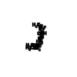 Cc1cn2cc(NC(=O)c3cnc(N4CC[C@@H](C5(NC(=O)OC(C)(C)C)CC5)C4)cn3)cc(F)c2n1